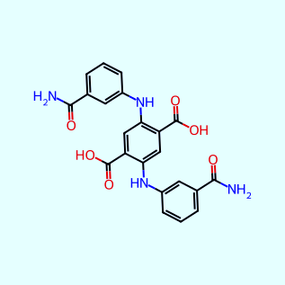 NC(=O)c1cccc(Nc2cc(C(=O)O)c(Nc3cccc(C(N)=O)c3)cc2C(=O)O)c1